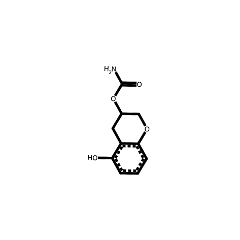 NC(=O)OC1COc2cccc(O)c2C1